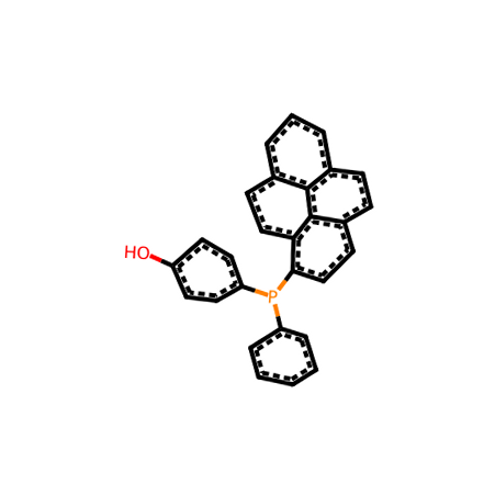 Oc1ccc(P(c2ccccc2)c2ccc3ccc4cccc5ccc2c3c45)cc1